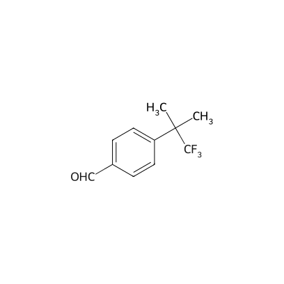 CC(C)(c1ccc(C=O)cc1)C(F)(F)F